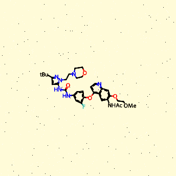 COCCOc1cc2nccc(Oc3ccc(NC(=O)Nc4cc(C(C)(C)C)nn4CCN4CCOCC4)cc3F)c2cc1NC(C)=O